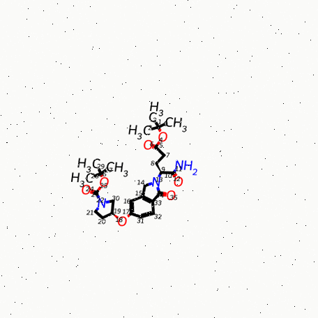 CC(C)(C)OC(=O)CC[C@@H](C(N)=O)N1Cc2cc(O[C@H]3CCN(C(=O)OC(C)(C)C)C3)ccc2C1=O